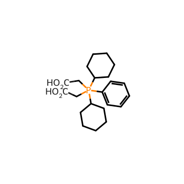 O=C(O)CP(CC(=O)O)(c1ccccc1)(C1CCCCC1)C1CCCCC1